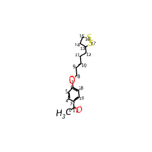 CC(=O)c1ccc(OCCCCCC2CCSS2)cc1